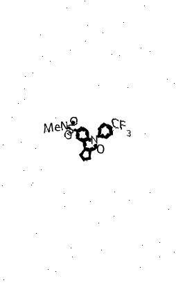 CNS(=O)(=O)c1ccc2c(c1)c1c(c(=O)n2-c2ccc(C(F)(F)F)cc2)CCC1